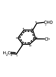 C=Cc1ccc(CC=O)c(Cl)c1